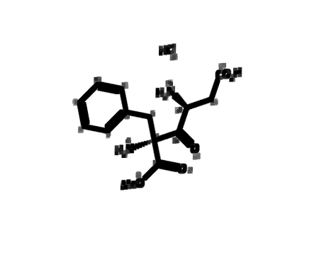 COC(=O)[C@@](N)(Cc1ccccc1)C(=O)[C@@H](N)CC(=O)O.Cl